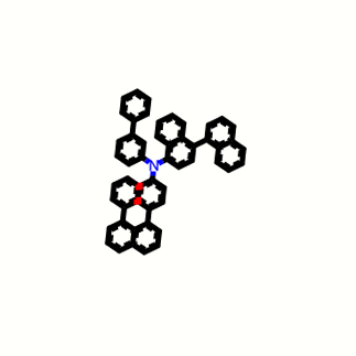 c1ccc(-c2cccc(N(c3ccc(-c4cccc5cccc(-c6ccccc6)c45)cc3)c3ccc(-c4cccc5ccccc45)c4ccccc34)c2)cc1